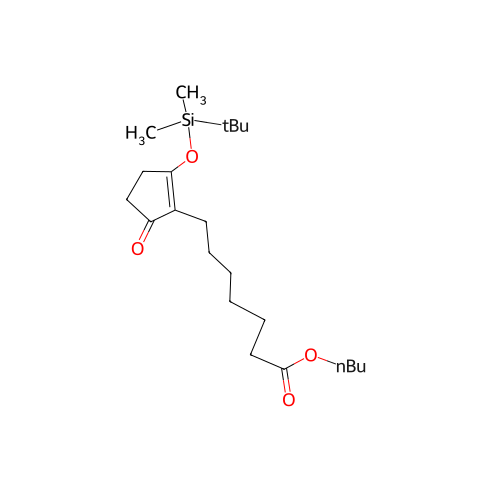 CCCCOC(=O)CCCCCCC1=C(O[Si](C)(C)C(C)(C)C)CCC1=O